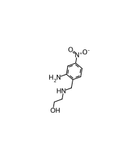 Nc1cc([N+](=O)[O-])ccc1CNCCO